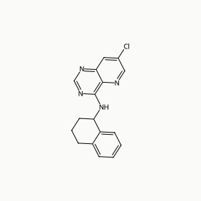 Clc1cnc2c(NC3CCCc4ccccc43)ncnc2c1